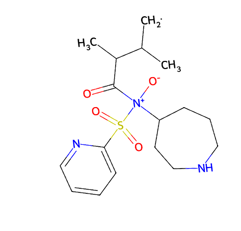 [CH2]C(C)C(C)C(=O)[N+]([O-])(C1CCCNCC1)S(=O)(=O)c1ccccn1